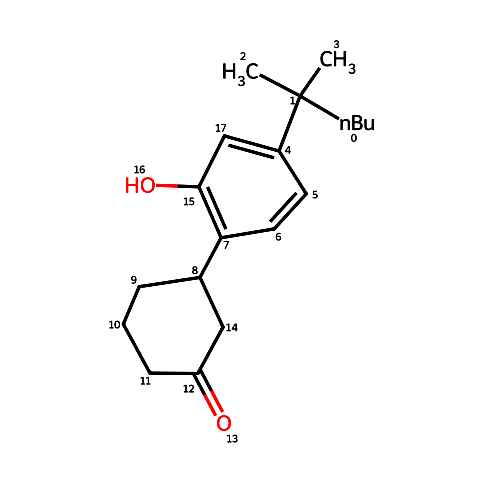 CCCCC(C)(C)c1ccc(C2CCCC(=O)C2)c(O)c1